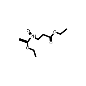 C=C(OCC)[PH](=O)CCC(=O)OCC